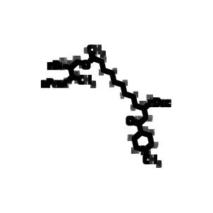 C=C(CCCCCCCCC(CCCCCCCCCC)CC(=O)C1CCN(C)CC1)OCC(CCCC)C(C)CCCCC